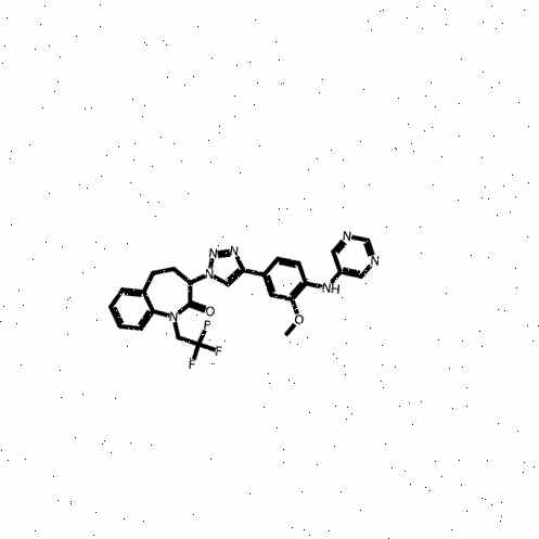 COc1cc(-c2cn(C3CCc4ccccc4N(CC(F)(F)F)C3=O)nn2)ccc1Nc1cncnc1